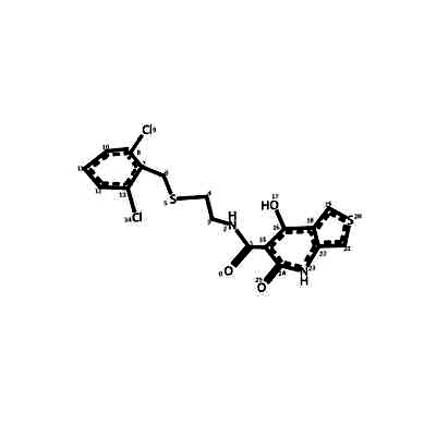 O=C(NCCSCc1c(Cl)cccc1Cl)c1c(O)c2cscc2[nH]c1=O